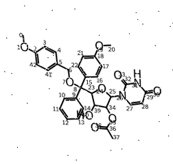 COc1ccc(COC(c2ccccc2)(c2ccc(OC)cc2)C2OC(n3ccc(=O)[nH]c3=O)C(OC(C)=O)C2O)cc1